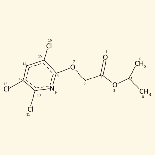 CC(C)OC(=O)COc1nc(Cl)c(Cl)cc1Cl